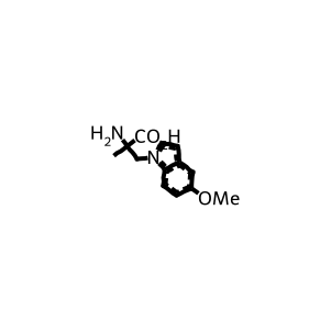 COc1ccc2c(ccn2CC(C)(N)C(=O)O)c1